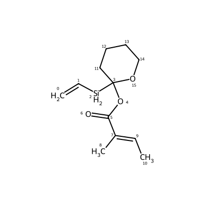 C=C[SiH2]C1(OC(=O)C(C)=CC)CCCCO1